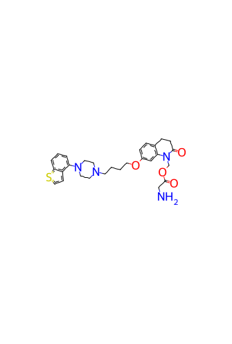 NCC(=O)OCN1C(=O)CCc2ccc(OCCCCN3CCN(c4cccc5sccc45)CC3)cc21